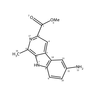 COC(=O)c1cc2c([nH]c3ccc(N)cc32)c(C)n1